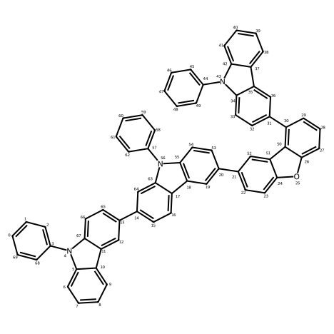 c1ccc(-n2c3ccccc3c3cc(-c4ccc5c6cc(-c7ccc8oc9cccc(-c%10ccc%11c(c%10)c%10ccccc%10n%11-c%10ccccc%10)c9c8c7)ccc6n(-c6ccccc6)c5c4)ccc32)cc1